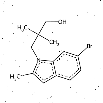 Cc1cc2ccc(Br)cc2n1CC(C)(C)CO